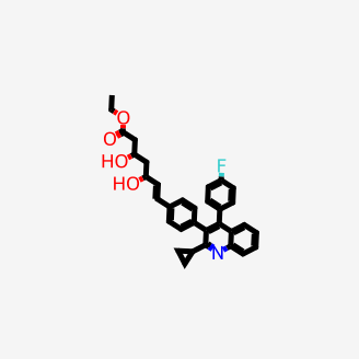 CCOC(=O)CC(O)CC(O)C=Cc1ccc(-c2c(C3CC3)nc3ccccc3c2-c2ccc(F)cc2)cc1